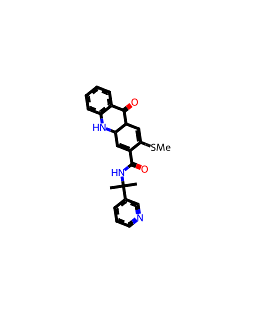 CSC1=CC2C(=O)c3ccccc3NC2C=C1C(=O)NC(C)(C)c1cccnc1